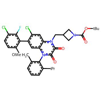 COc1ccc(Cl)c(F)c1-c1cc2c(cc1Cl)n(CC1CN(C(=O)OC(C)(C)C)C1)c(=O)c(=O)n2-c1c(C)cccc1C(C)C